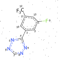 Fc1cc(-c2nncnn2)cc(C(F)(F)F)c1